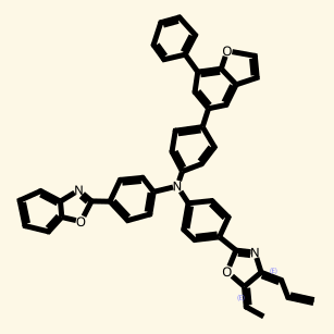 C=C/C=c1/nc(-c2ccc(N(c3ccc(-c4cc(-c5ccccc5)c5occc5c4)cc3)c3ccc(-c4nc5ccccc5o4)cc3)cc2)o/c1=C/C